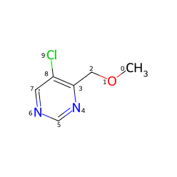 COCc1ncn[c]c1Cl